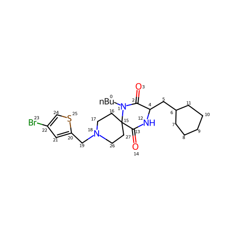 CCCCN1C(=O)C(CC2CCCCC2)NC(=O)C12CCN(Cc1cc(Br)cs1)CC2